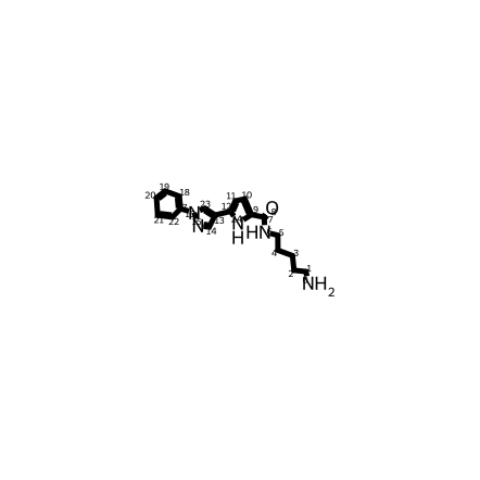 NCCCCCNC(=O)c1ccc(-c2cnn(-c3ccccc3)c2)[nH]1